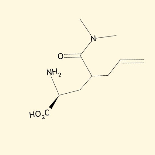 C=CCC(C[C@H](N)C(=O)O)C(=O)N(C)C